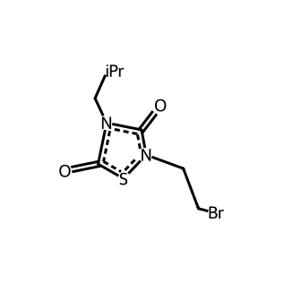 CC(C)Cn1c(=O)sn(CCBr)c1=O